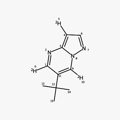 [2H]c1nc2c([2H])cnn2c([2H])c1C(C)(C)C